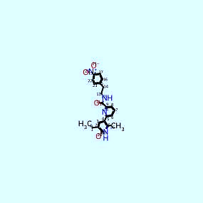 CCc1cc(-c2cccc(C(=O)NCCc3ccc([N+](=O)[O-])cc3)n2)c(C)[nH]c1=O